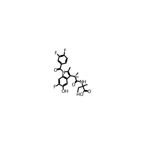 CCC(C)(NC(=O)[C@H](C)c1c(C)n(C(=O)c2ccc(F)c(F)c2)c2cc(F)c(O)cc12)C(=O)O